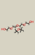 CC(C)(C)OC(C)(C)C.OCCOCCOCCOCCO